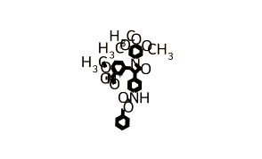 COc1ccc(C2C(c3ccc(NC(=O)OCc4ccccc4)cc3)C(=O)N2c2cc(OC)c(OC)c(OC)c2)cc1[N+](=O)[O-]